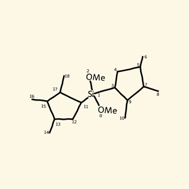 CO[Si](OC)(C1CC(C)C(C)C1C)C1CC(C)C(C)C1C